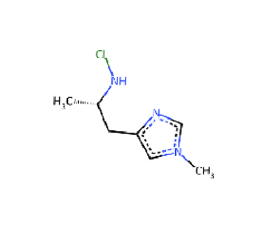 C[C@@H](Cc1cn(C)cn1)NCl